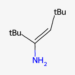 CC(C)(C)/C=C(/N)C(C)(C)C